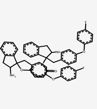 NC1Cc2ccccc2C1(Cc1ccc(Oc2ccc(F)cc2)cc1)OC(=O)/C=C\C(=O)OC1(Cc2ccc(Oc3ccc(F)cc3)cc2)c2ccccc2CC1N